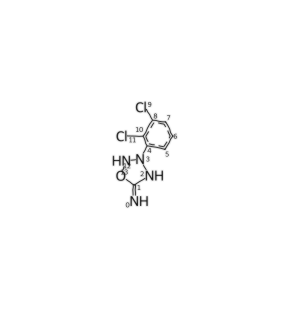 N=C1NN(c2cccc(Cl)c2Cl)NO1